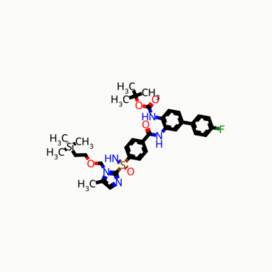 Cc1cnc(S(=N)(=O)c2ccc(C(=O)Nc3cc(-c4ccc(F)cc4)ccc3NC(=O)OC(C)(C)C)cc2)n1COCC[Si](C)(C)C